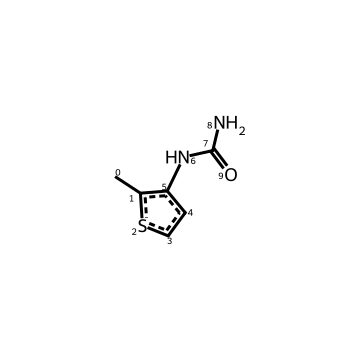 Cc1sccc1NC(N)=O